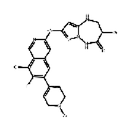 CC(=O)N1CC=C(c2cc3cc(Nc4cc5n(n4)NC(=O)C(C(C)C)CN5)ncc3c(Cl)c2F)CC1